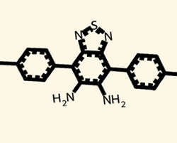 Cc1ccc(-c2c(N)c(N)c(-c3ccc(C)cc3)c3nsnc23)cc1